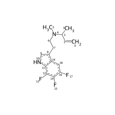 C=CC(C)N(C)CCc1c[nH]c2c(F)c(F)c(F)cc12